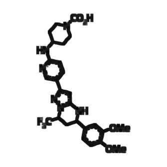 COc1ccc(C2CC(C(F)(F)F)n3nc(-c4ccc(NC5CCN(C(=O)O)CC5)nc4)cc3N2)cc1OC